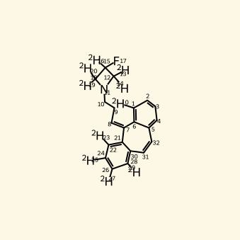 [2H]c1cccc2c1C(=CCCN1C([2H])([2H])C([2H])(F)C1([2H])[2H])c1c([2H])c([2H])c([2H])c([2H])c1C=C2